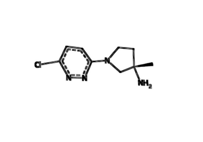 C[C@]1(N)CCN(c2ccc(Cl)nn2)C1